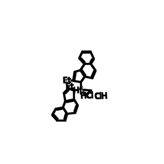 CCC1=Cc2c(ccc3ccccc23)[CH]1[Hf]1([CH]2C(CC)=Cc3c2ccc2ccccc32)[CH2][CH2]1.Cl.Cl